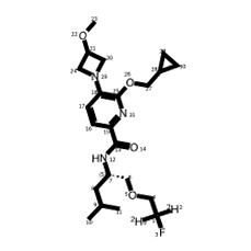 [2H]C([2H])(F)COC[C@H](CC(C)C)NC(=O)c1ccc(N2CC(OC)C2)c(OCC2CC2)n1